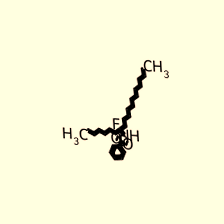 CCCCCCCCCCCCCC(F)(CCCCCCC)NS(=O)(=O)c1ccccc1